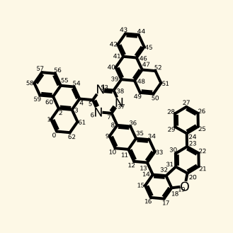 C1=Cc2c(c(-c3nc(-c4ccc5cc(-c6cccc7oc8ccc(-c9ccccc9)cc8c67)ccc5c4)nc(-c4cc5ccccc5c5c4C=CCC5)n3)cc3ccccc23)CC1